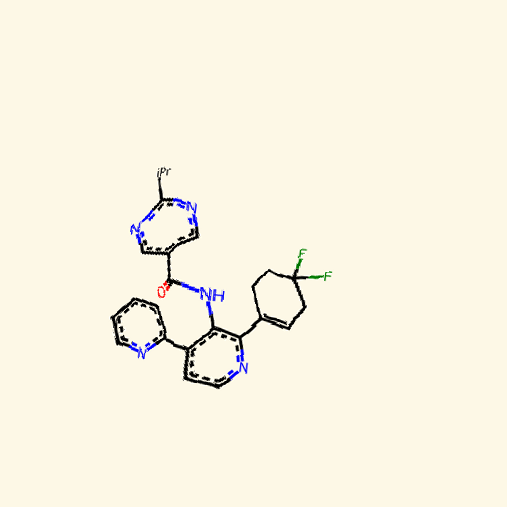 CC(C)c1ncc(C(=O)Nc2c(-c3ccccn3)ccnc2C2=CCC(F)(F)CC2)cn1